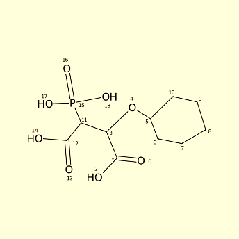 O=C(O)C(OC1CCCCC1)C(C(=O)O)P(=O)(O)O